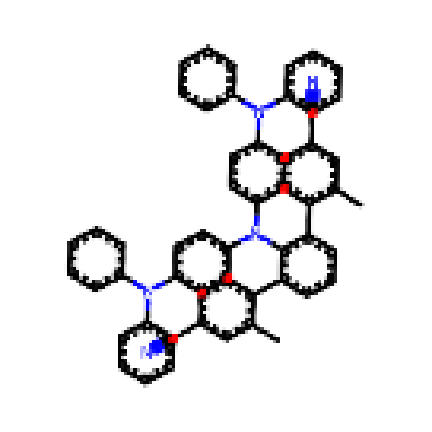 Cc1cc(C#N)ccc1-c1cccc(-c2ccc(C#N)cc2C)c1N(c1ccc(N(c2ccccc2)c2ccccc2)cc1)c1ccc(N(c2ccccc2)c2ccccc2)cc1